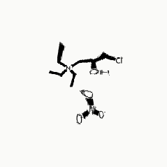 CC[N+](CC)(CC)CC(O)CCl.O=[N+]([O-])[O-]